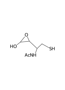 CC(=O)NC(CS)C1OC1O